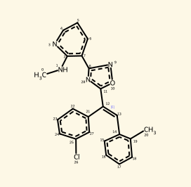 CNc1ncccc1-c1noc(/C(=C/c2ccccc2C)c2cccc(Cl)c2)n1